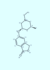 CCN1C[C@@H](C)C[C@@H](Oc2ccc3c(c2)COC3=O)C1